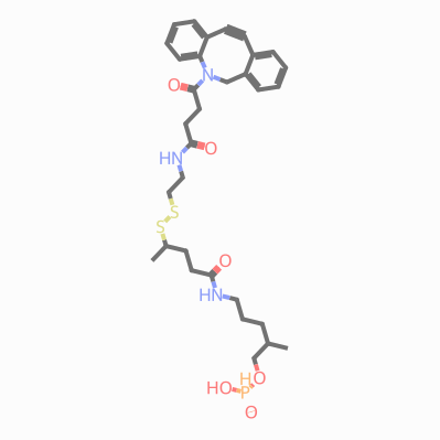 CC(CCCNC(=O)CCC(C)SSCCNC(=O)CCC(=O)N1Cc2ccccc2C#Cc2ccccc21)CO[PH](=O)O